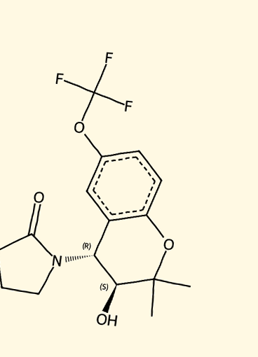 CC1(C)Oc2ccc(OC(F)(F)F)cc2[C@@H](N2CCCC2=O)[C@@H]1O